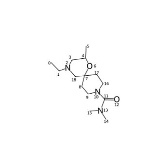 CCN1CC(C)OC2(CCN(C(=O)N(C)C)CC2)C1